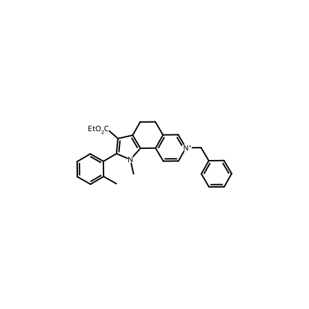 CCOC(=O)c1c2c(n(C)c1-c1ccccc1C)-c1cc[n+](Cc3ccccc3)cc1CC2